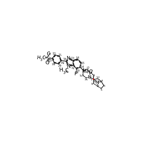 COCCN1C2CCC1CC(N1CCC(c3ccc4nc(-c5ccc(S(C)(=O)=O)cc5)n(C)c4c3F)CC1)C2